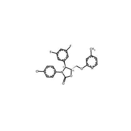 Cc1ccnc(OC[C@@H]2OC(=O)N(c3ccc(Cl)cc3)[C@H]2c2cc(F)cc(F)c2)c1